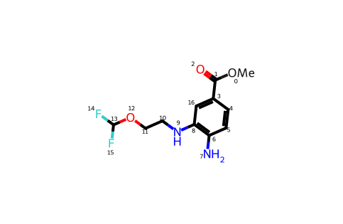 COC(=O)c1ccc(N)c(NCCOC(F)F)c1